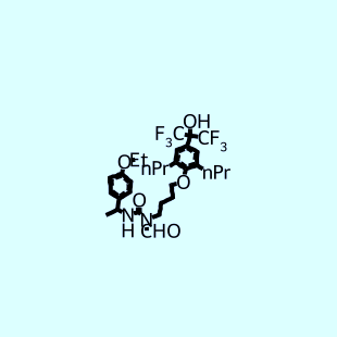 CCCc1cc(C(O)(C(F)(F)F)C(F)(F)F)cc(CCC)c1OCCCCN(C=O)C(=O)NC(C)c1ccc(OCC)cc1